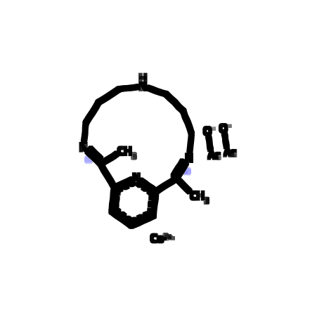 C/C1=N/CCCNCCC/N=C(\C)c2cccc1n2.CC(=O)[O-].CC(=O)[O-].[Co+2]